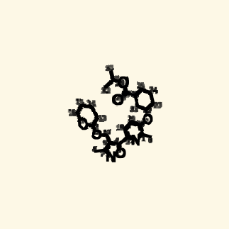 Cc1nc(-c2onc(C)c2COC2CCCCO2)ccc1O[C@H]1CCC[C@H](C(=O)OC(C)C)C1